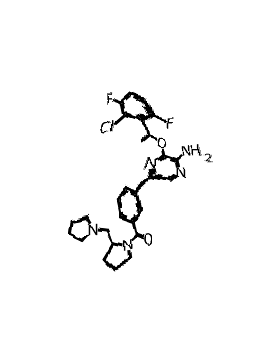 CC(Oc1nc(-c2cccc(C(=O)N3CCC[C@H]3CN3CCCC3)c2)cnc1N)c1c(F)ccc(F)c1Cl